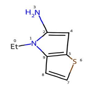 CCn1c(N)cc2sccc21